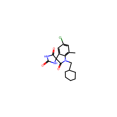 Cc1cc(Cl)cc2c1N(CC1CCCCC1)C(=O)C21NC(=O)NC1=O